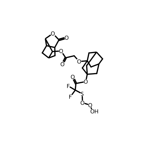 O=C(COC12CC3CC(C1)CC(OC(=O)C(F)(F)SOOO)(C3)C2)OC1C2CC3C(=O)OC1C3C2